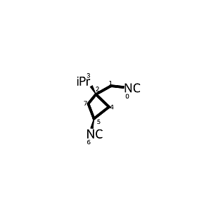 [C-]#[N+]C[C@]1(C(C)C)C[C@@H]([N+]#[C-])C1